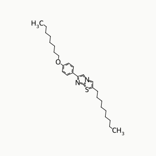 CCCCCCCCCc1cn2cc(-c3ccc(OCCCCCCCC)cc3)nc2s1